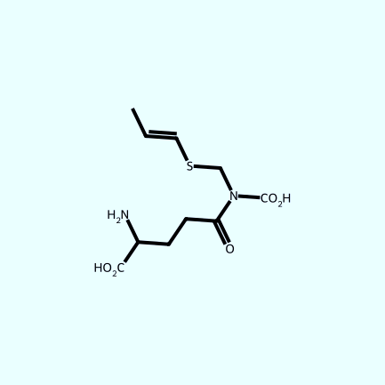 CC=CSCN(C(=O)O)C(=O)CCC(N)C(=O)O